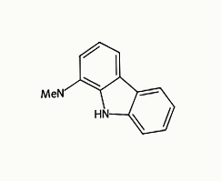 CNc1cccc2c1[nH]c1ccccc12